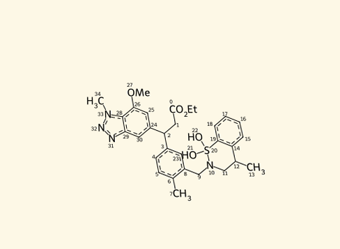 CCOC(=O)CC(c1ccc(C)c(CN2CC(C)c3ccccc3S2(O)O)c1)c1cc(OC)c2c(c1)nnn2C